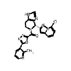 Cc1ncccc1-c1nnc(C(=O)N2CCc3[nH]cnc3[C@@H]2c2cc3cccc(Cl)n3n2)o1